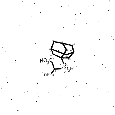 CCCC(C(=O)O)C(=O)O.[O]C12CC3CC(CC(C3)C1)C2